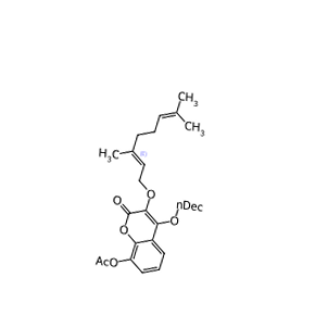 CCCCCCCCCCOc1c(OC/C=C(\C)CCC=C(C)C)c(=O)oc2c(OC(C)=O)cccc12